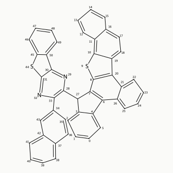 c1ccc2c(c1)-c1c(c3sc4c5ccccc5ccc4c3c3ccccc13)C2c1nc2c(nc1-c1ccc3ccccc3c1)sc1ccccc12